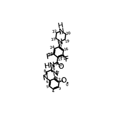 COc1cccc2ncc(NC(=O)c3c(F)cc(N4CCNCC4)cc3F)nc12